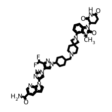 Cn1c(=O)n(C2CCC(=O)NC2=O)c2cccc(N3CC4(CCN(CC5CCC(n6cc(-n7cc(-n8ccc9cc(C(N)=O)cnc98)nn7)c(C(F)F)n6)CC5)CC4)C3)c21